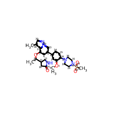 COc1cc(-c2cc(O[C@H](C)C3CNC(=O)C3)c3c(C)cnn3c2)ccc1N1CCN(S(C)(=O)=O)CC1